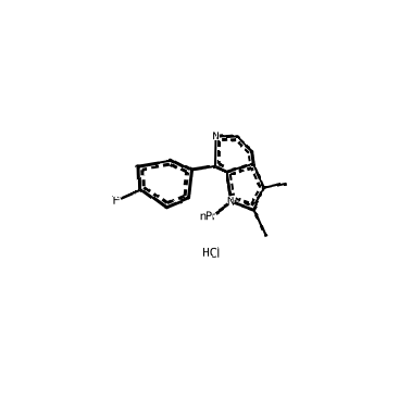 CCCn1c(C)c(C)c2ccnc(-c3ccc(F)cc3)c21.Cl